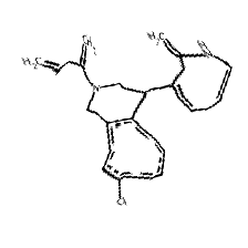 C=CC(=C)N1Cc2cc(Cl)ccc2C(C2=CC=CNC2=C)C1